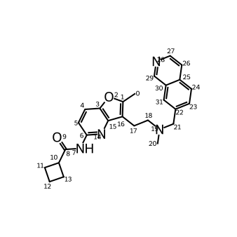 Cc1oc2ccc(NC(=O)C3CCC3)nc2c1CCN(C)Cc1ccc2ccncc2c1